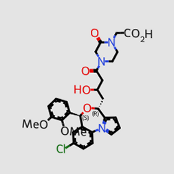 COc1cccc([C@H]2O[C@H](CC(O)CC(=O)N3CCN(CC(=O)O)C(=O)C3)c3cccn3-c3ccc(Cl)cc32)c1OC